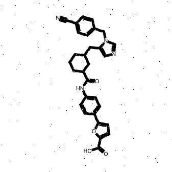 N#Cc1ccc(Cn2cncc2CC2CCCC(C(=O)Nc3ccc(-c4ccc(C(=O)O)o4)cc3)C2)cc1